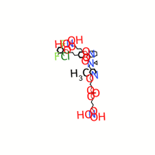 Cc1c(CN(C(=O)C2=C(c3ccc(CCCOc4c(F)ccc(F)c4Cl)cc3)CC3CCC2N3C(=O)OCCCCON(O)O)C2CC2)ccnc1OCCCOC(=O)OCCCCON(O)O